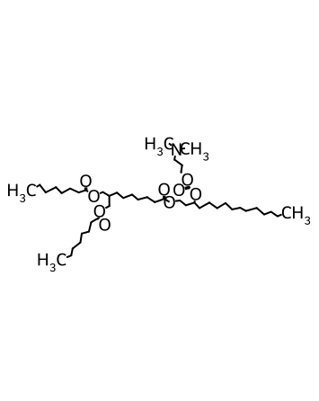 CCCCCCCCCCCCC(CCOC(=O)CCCCCCC(COC(=O)CCCCCCC)COC(=O)CCCCCCC)OC(=O)OCCCN(C)C